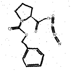 O=C(O)[C@@H]1CCCN1C(=O)OCc1ccccc1.[N-]=[N+]=C=O